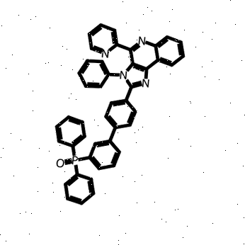 O=P(c1ccccc1)(c1ccccc1)c1cccc(-c2ccc(-c3nc4c5ccccc5nc(-c5ccccn5)c4n3-c3ccccc3)cc2)c1